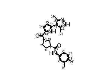 Cc1cc(NC(=O)[C@H]2CCN(C(=O)c3ccc(-c4c(C)n[nH]c4C)[nH]3)C2)ccc1F